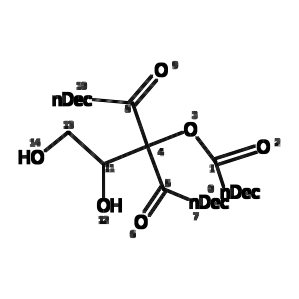 CCCCCCCCCCC(=O)OC(C(=O)CCCCCCCCCC)(C(=O)CCCCCCCCCC)C(O)CO